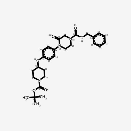 CC(C)(C)OC(=O)N1CCC(Oc2ccc(N3CCN(C(=O)OCc4ccccc4)CC3=O)cc2)CC1